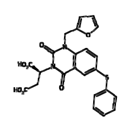 O=C(O)C[C@@H](C(=O)O)n1c(=O)c2cc(Sc3ccccc3)ccc2n(Cc2ccco2)c1=O